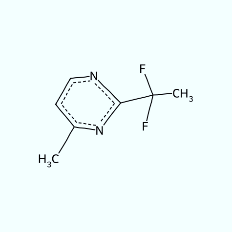 Cc1ccnc(C(C)(F)F)n1